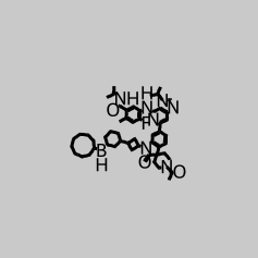 CC(=O)N1CCC2(CC1)C(=O)N(C1CC(C3CCCC(BC4CCCCCCCC4)C3)C1)c1cc(-c3cc4ncn(C(C)C)c4c(Nc4cc(C(=O)NC(C)C)c(C)cc4F)n3)ccc12